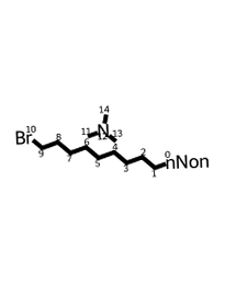 CCCCCCCCCCCCCCCCCCBr.CN(C)C